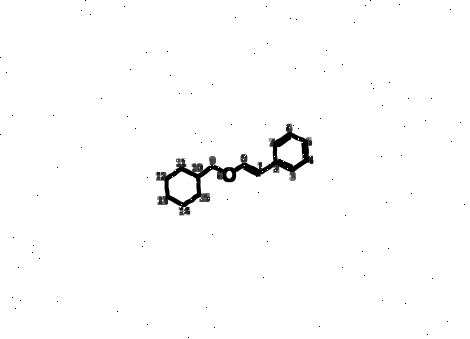 C(=C\c1ccccc1)/OCC1CCCCC1